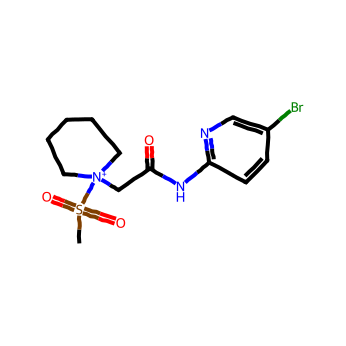 CS(=O)(=O)[N+]1(CC(=O)Nc2ccc(Br)cn2)CCCCC1